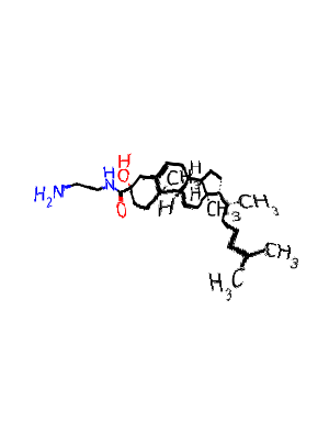 CC(C)CCC[C@@H](C)[C@H]1CC[C@H]2[C@@H]3CC=C4C[C@](O)(C(=O)NCCN)CC[C@]4(C)[C@H]3CC[C@]12C